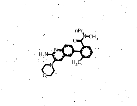 CCCN(C)C(=O)c1cccc(C)c1-c1ccc2nc(N)c(N3CCOCC3)cc2c1